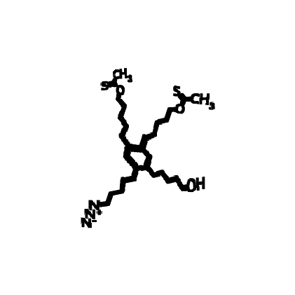 CC(=S)OCCCCCc1cc(CCCCCO)c(CCCCCN=[N+]=[N-])cc1CCCCCOC(C)=S